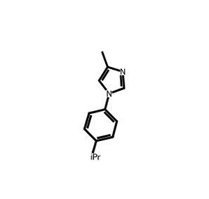 Cc1cn(-c2ccc(C(C)C)cc2)cn1